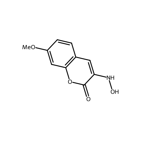 COc1ccc2cc(NO)c(=O)oc2c1